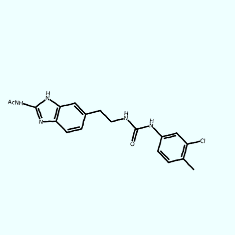 CC(=O)Nc1nc2ccc(CCNC(=O)Nc3ccc(C)c(Cl)c3)cc2[nH]1